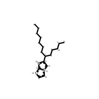 CCCCCCCC(CCCCC)c1cn2ccsc2n1